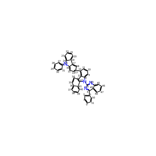 c1ccc(-c2nc(-n3c4cccc(-c5ccc6c(c5)c5ccccc5n6-c5ccccc5)c4c4ccc5ccccc5c43)nc3ccccc23)cc1